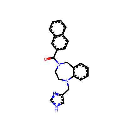 O=C(c1ccc2ccccc2c1)N1CCN(Cc2c[nH]cn2)c2ccccc2C1